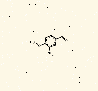 COc1ccc(N=O)cc1N